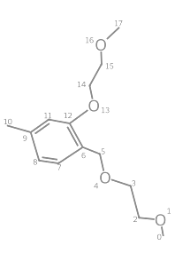 COCCOCc1ccc(C)cc1OCCOC